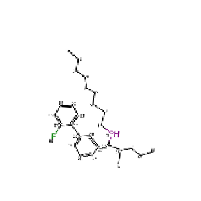 CCCCCCCCCPCC(C)CCC.Fc1ccccc1-c1ccccc1